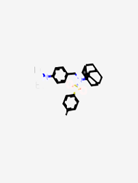 CCN(CC)c1ccc(CN(C23CC4CC(CC(C4)C2)C3)S(=O)(=O)c2ccc(C(C)C)cc2)cc1